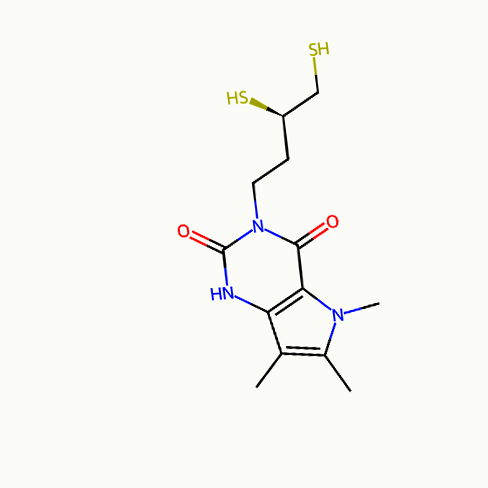 Cc1c(C)n(C)c2c(=O)n(CC[C@@H](S)CS)c(=O)[nH]c12